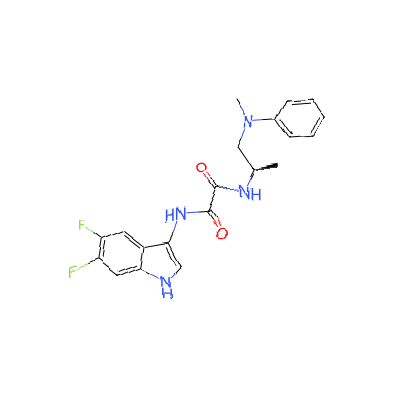 C[C@H](CN(C)c1ccccc1)NC(=O)C(=O)Nc1c[nH]c2cc(F)c(F)cc12